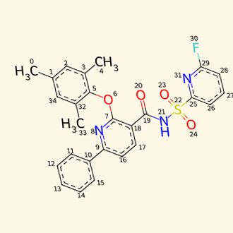 Cc1cc(C)c(Oc2nc(-c3ccccc3)ccc2C(=O)NS(=O)(=O)c2cccc(F)n2)c(C)c1